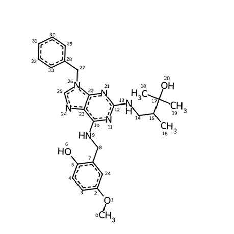 COc1ccc(O)c(CNc2nc(NCC(C)C(C)(C)O)nc3c2ncn3Cc2ccccc2)c1